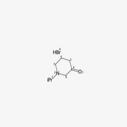 Br.CC(C)N1CCCC(=O)C1